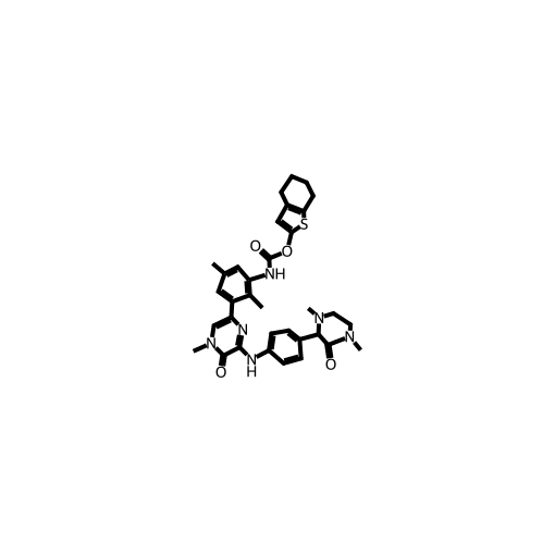 Cc1cc(NC(=O)Oc2cc3c(s2)CCCC3)c(C)c(-c2cn(C)c(=O)c(Nc3ccc(C4C(=O)N(C)CCN4C)cc3)n2)c1